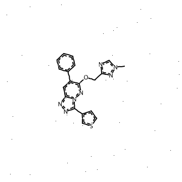 Cn1cnc(COc2nn3c(-c4ccsc4)nnc3cc2-c2ccccc2)n1